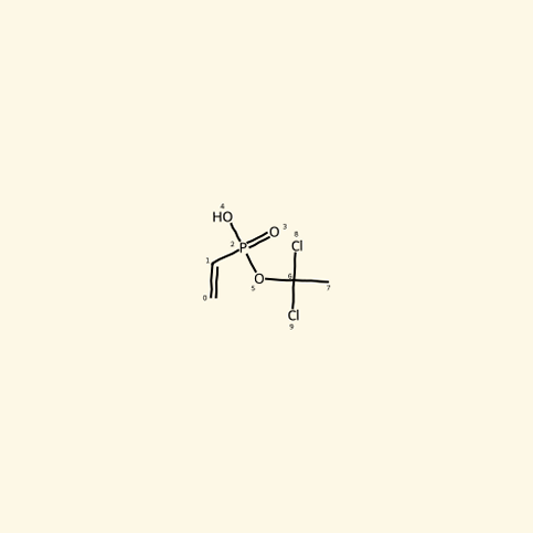 C=CP(=O)(O)OC(C)(Cl)Cl